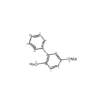 COc1ccc(OC)c(-c2ccccc2)c1